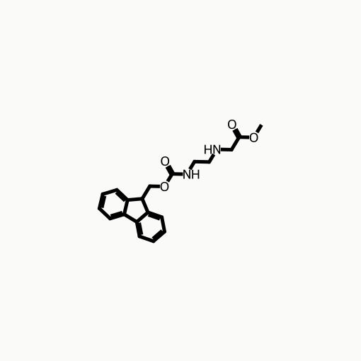 COC(=O)CNCCNC(=O)OCC1c2ccccc2-c2ccccc21